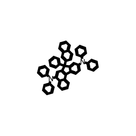 c1ccc(N(c2ccccc2)c2ccc3c(c2)C(c2ccccc2)(c2ccc4ccccc4c2)c2cc(N(c4ccccc4)c4ccccc4)c4ccccc4c2-3)cc1